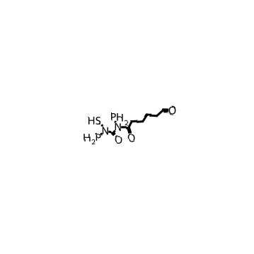 O=CCCCCC(=O)N(P)C(=O)N(P)S